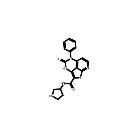 O=C(NC1CCNC1)c1sc2nccc3c2c1NC(=O)N3c1ccccc1